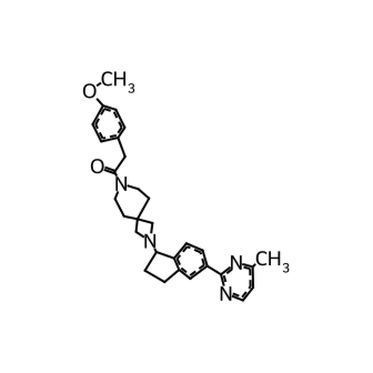 COc1ccc(CC(=O)N2CCC3(CC2)CN(C2CCc4cc(-c5nccc(C)n5)ccc42)C3)cc1